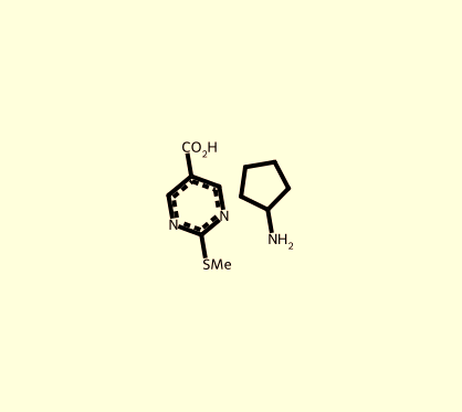 CSc1ncc(C(=O)O)cn1.NC1CCCC1